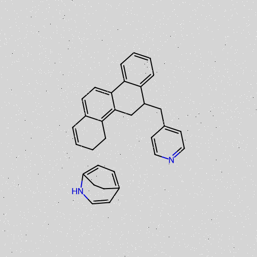 C1=CC2=CC=C(CC2)N1.C1=Cc2ccc3c(c2CC1)CC(Cc1ccncc1)c1ccccc1-3